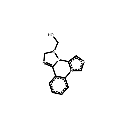 OCN1CN=C2c3ccccc3-n3cncc3N21